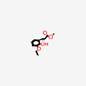 CCOc1cccc(/C=C/C(=O)OC)c1O